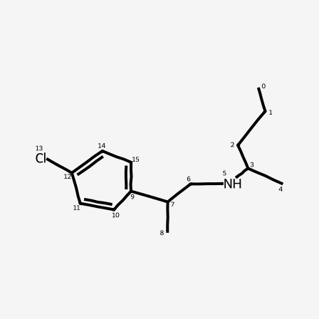 CCCC(C)NCC(C)c1ccc(Cl)cc1